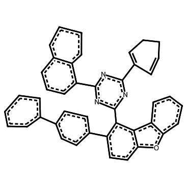 C1=CC(c2nc(-c3cccc4ccccc34)nc(-c3c(-c4ccc(-c5ccccc5)cc4)ccc4oc5ccccc5c34)n2)=CCC1